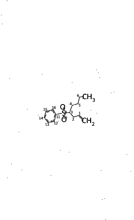 C=CCC(CCCC)S(=O)(=O)c1ccccc1